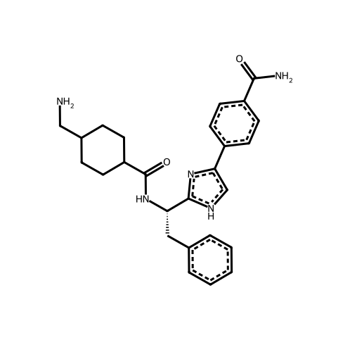 NCC1CCC(C(=O)N[C@@H](Cc2ccccc2)c2nc(-c3ccc(C(N)=O)cc3)c[nH]2)CC1